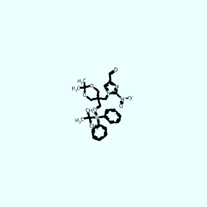 CC1(C)OCC(CO[Si](c2ccccc2)(c2ccccc2)C(C)(C)C)(Cn2cc(C=O)nc2[N+](=O)[O-])CO1